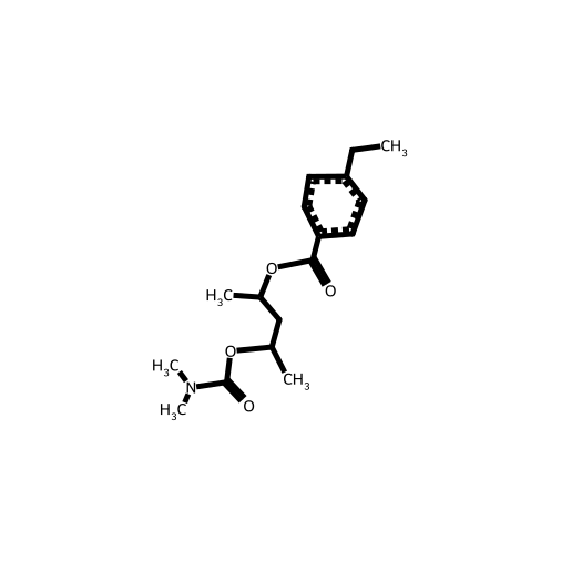 CCc1ccc(C(=O)OC(C)CC(C)OC(=O)N(C)C)cc1